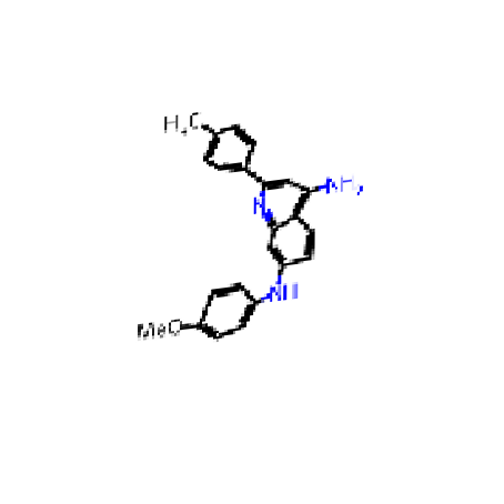 COc1ccc(Nc2ccc3c(N)cc(-c4ccc(C)cc4)nc3c2)cc1